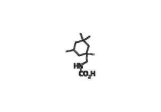 CC1CC(C)(C)CC(C)(CNC(=O)O)C1